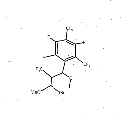 COC(C(C(OI)c1c(F)c(F)c(C(F)(F)F)c(F)c1C(F)(F)F)C(F)(F)F)C(C)(C)C